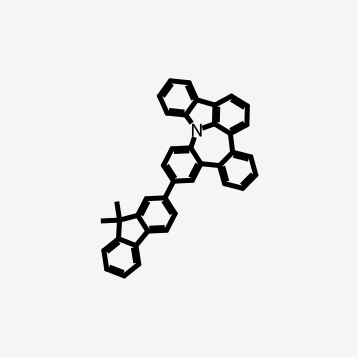 CC1(C)c2ccccc2-c2ccc(-c3ccc4c(c3)-c3ccccc3-c3cccc5c6ccccc6n-4c35)cc21